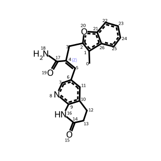 Cc1c(C/C(=C/c2cnc3c(c2)CCC(=O)N3)C(N)=O)oc2ccccc12